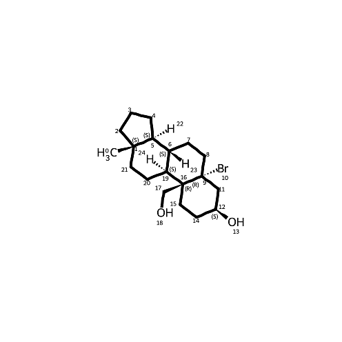 C[C@@]12CCC[C@H]1[C@@H]1CC[C@@]3(Br)C[C@@H](O)CC[C@]3(CO)[C@H]1CC2